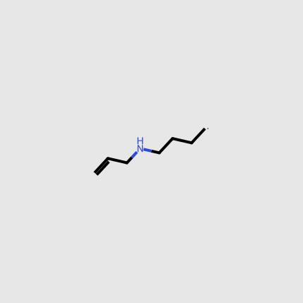 [CH2]CCCNCC=C